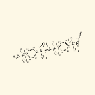 CCC(C)(C#CC(C)(C)c1ccc(C(C)(C)N=C=S)cc1)c1ccc(C(C)(C)C)cc1